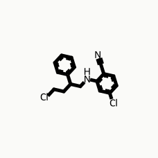 N#Cc1ccc(Cl)cc1NCC(CCCl)c1ccccc1